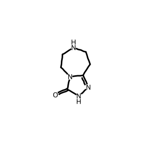 O=c1[nH]nc2n1CCNCC2